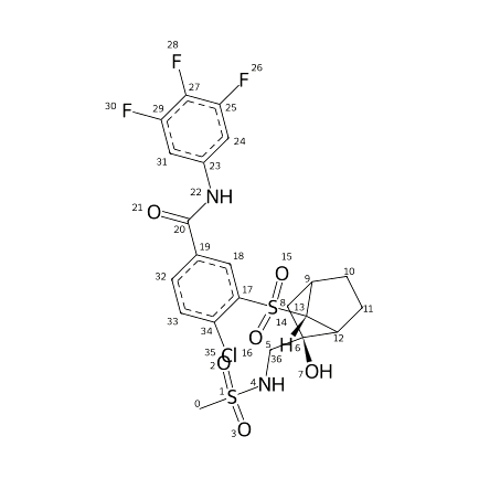 CS(=O)(=O)NC[C@]1(O)CC2CCC1[C@@H]2S(=O)(=O)c1cc(C(=O)Nc2cc(F)c(F)c(F)c2)ccc1Cl